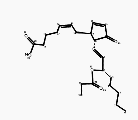 CCCCC[C@@H](/C=C/[C@H]1C(=O)C=C[C@@H]1C/C=C\CCCC(=O)O)OC(=O)CC